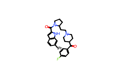 CC(C)c1ccc2cc(C(=O)N3CCCC3CCN3CCC(C(=O)c4ccc(F)cc4)CC3)[nH]c2c1